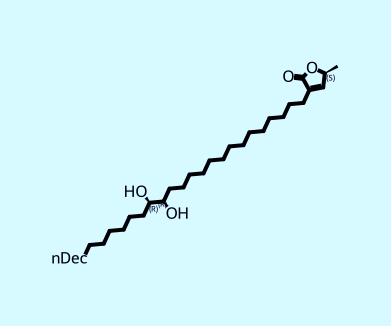 CCCCCCCCCCCCCCCC[C@@H](O)[C@H](O)CCCCCCCCCCCCCCC1=C[C@H](C)OC1=O